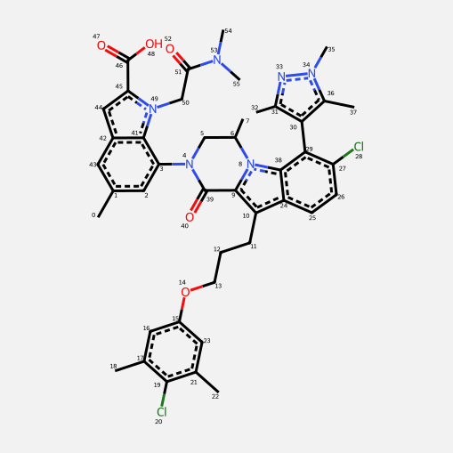 Cc1cc(N2CC(C)n3c(c(CCCOc4cc(C)c(Cl)c(C)c4)c4ccc(Cl)c(-c5c(C)nn(C)c5C)c43)C2=O)c2c(c1)cc(C(=O)O)n2CC(=O)N(C)C